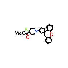 COC(=O)C1(F)CCN(C2CCC3(Cc4ccccc4Oc4ccccc43)C2)CC1